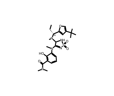 CC[C@H](c1cc(C(C)(C)C)co1)N(C)C1NS(=O)(=O)N=C1N(C)c1cccc(C(=O)N(C)C)c1O